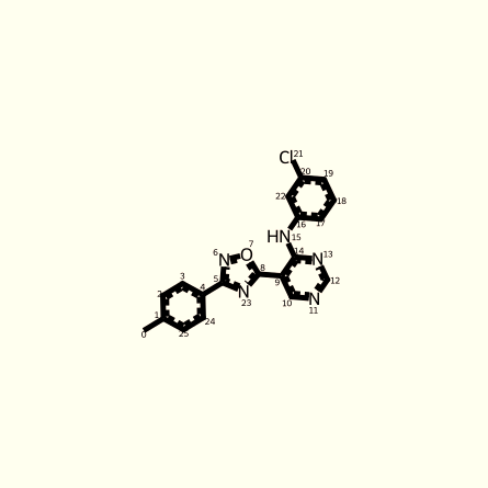 Cc1ccc(-c2noc(-c3cncnc3Nc3cccc(Cl)c3)n2)cc1